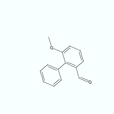 COc1cccc(C=O)c1-c1ccccc1